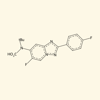 CC(C)(C)N(C(=O)O)c1cc2nc(-c3ccc(F)cc3)nn2cc1F